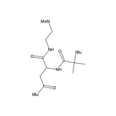 CNCCNC(=O)C(CC(=O)C(C)(C)C)NC(=O)C(C)(C)C(C)(C)C